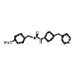 COc1ccc(CNC(=O)Nc2ccc(Cc3ccncc3)cc2)cc1